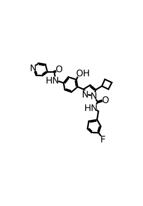 O=C(Nc1ccc(-c2cc(C3CCC3)n(C(=O)NCc3cccc(F)c3)n2)c(O)c1)c1ccncc1